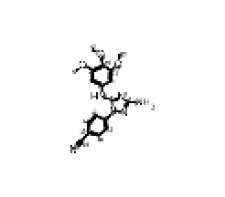 COc1cc(Nc2nc(N)nn2-c2ccc(C#N)cc2)cc(OC)c1OC